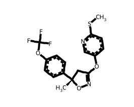 CSc1ccc(OC2=NO[C@](C)(c3ccc(OC(F)(F)F)cc3)C2)cn1